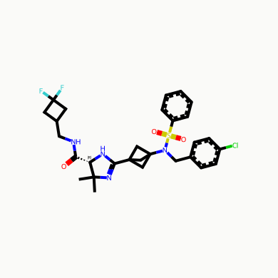 CC1(C)N=C(C23CC(N(Cc4ccc(Cl)cc4)S(=O)(=O)c4ccccc4)(C2)C3)N[C@H]1C(=O)NCC1CC(F)(F)C1